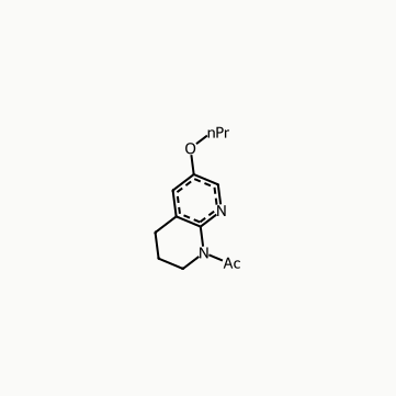 CCCOc1cnc2c(c1)CCCN2C(C)=O